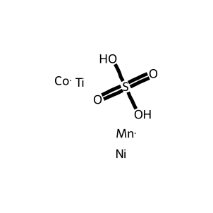 O=S(=O)(O)O.[Co].[Mn].[Ni].[Ti]